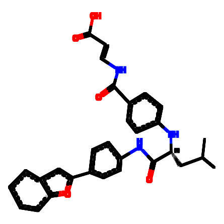 CC(C)C[C@@H](Nc1ccc(C(=O)NC=CC(=O)O)cc1)C(=O)Nc1ccc(-c2cc3ccccc3o2)cc1